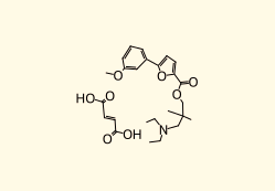 CCN(CC)CC(C)(C)COC(=O)c1ccc(-c2cccc(OC)c2)o1.O=C(O)C=CC(=O)O